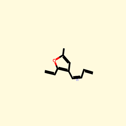 C=C/C=C\c1cc(C)oc1C=C